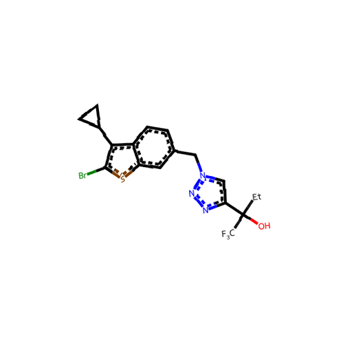 CCC(O)(c1cn(Cc2ccc3c(C4CC4)c(Br)sc3c2)nn1)C(F)(F)F